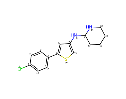 Clc1ccc(-c2cc(NC3CCCCN3)cs2)cc1